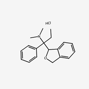 CCC(c1ccccc1)(C1OCc2ccccc21)N(C)C.Cl